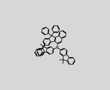 CC1(C)c2ccccc2-c2ccc(N(c3ccc4c(c3)C(C)(C)c3ccccc3-4)c3cc4ccccc4c4c3-c3cc(-c5ccccc5)ccc3C4(c3ccccc3)c3ccccc3)cc21